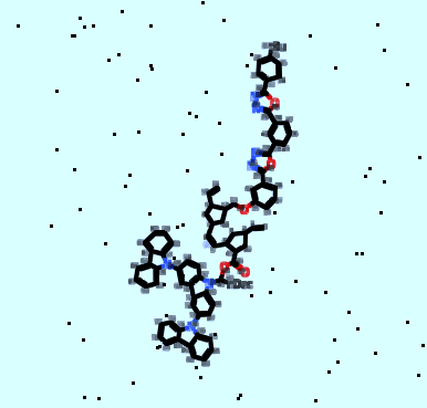 C=CC1CC(/C=C\C2CC(C=C)C(COc3cccc(-c4nnc(-c5cccc(-c6nnc(-c7ccc(C(C)(C)C)cc7)o6)c5)o4)c3)C2)C(C(=O)OC(CCCCCCCCCC)n2c3ccc(-n4c5ccccc5c5ccccc54)cc3c3cc(-n4c5ccccc5c5ccccc54)ccc32)C1